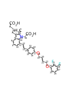 Cc1c(CCCC(=O)O)c2cccc(C=Cc3ccc(OCC=CCOc4cccc(F)c4F)cc3)c2n1CC(=O)O